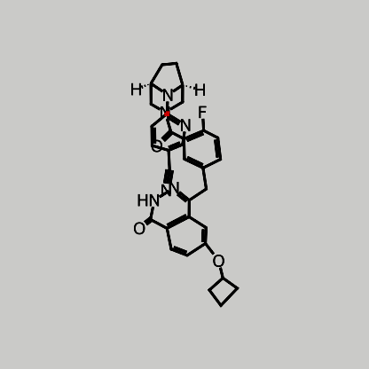 N#Cc1ccc(N2[C@@H]3CC[C@H]2CN(C(=O)c2cc(Cc4n[nH]c(=O)c5ccc(OC6CCC6)cc45)ccc2F)C3)nc1